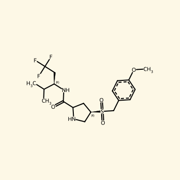 COc1ccc(CS(=O)(=O)[C@H]2CNC(C(=O)N[C@H](CC(F)(F)F)C(C)C)C2)cc1